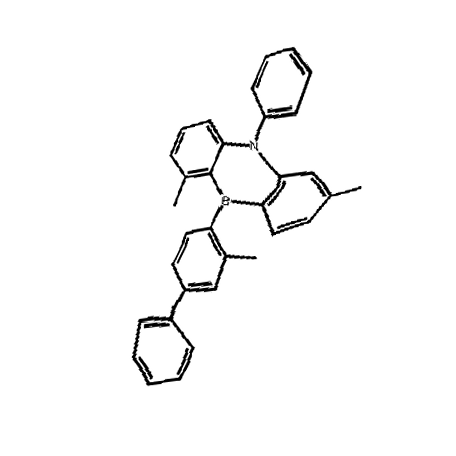 Cc1ccc2c(c1)N(c1ccccc1)c1cccc(C)c1B2c1ccc(-c2ccccc2)cc1C